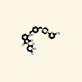 N#Cc1cccc(N2CCN(Cc3ccc(CNc4cccc5c4C(=O)N(C4CCC(=O)NC4=O)C5=O)cc3)CC2)n1